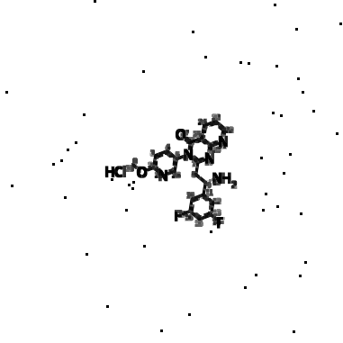 COc1ccc(-n2c(C[C@H](N)c3cc(F)cc(F)c3)nc3ncccc3c2=O)cn1.Cl